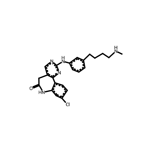 CNCCCCc1cccc(Nc2ncc3c(n2)-c2ccc(Cl)cc2NC(=O)C3)c1